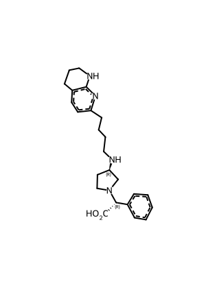 O=C(O)[C@@H](c1ccccc1)N1CC[C@@H](NCCCCc2ccc3c(n2)NCCC3)C1